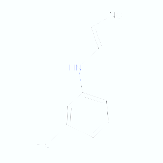 O=[N+]([O-])C=CNc1cccc(C(F)(F)F)c1